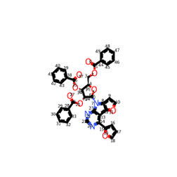 O=C(OC[C@H]1O[C@@H](n2c3ccoc3c3c(-c4ccco4)ncnc32)[C@H](OC(=O)c2ccccc2)[C@@H]1OC(=O)c1ccccc1)c1ccccc1